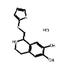 Cl.Oc1cc2c(cc1O)C(CSc1cccs1)NCC2